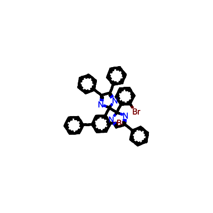 Brc1ccccc1C1(C2(c3cc(-c4ccccc4)ccc3Br)N=C(c3ccccc3)C(c3ccccc3)=N2)N=CC(c2ccccc2)=N1